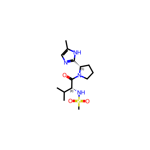 Cc1cnc([C@@H]2CCCN2C(=O)[C@H](NS(C)(=O)=O)C(C)C)[nH]1